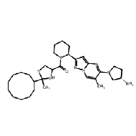 Cc1cn2nc([C@@H]3CCCCN3C(=O)C3CSC(C)(C4CCCCCCCCC4)N3)cc2nc1N1CC[C@H](N)C1